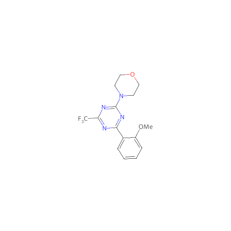 COc1ccccc1-c1nc(N2CCOCC2)nc(C(F)(F)F)n1